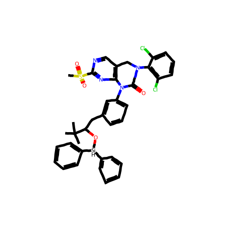 CC(C)(C)C(Cc1cccc(N2C(=O)N(c3c(Cl)cccc3Cl)Cc3cnc(S(C)(=O)=O)nc32)c1)O[SiH](c1ccccc1)c1ccccc1